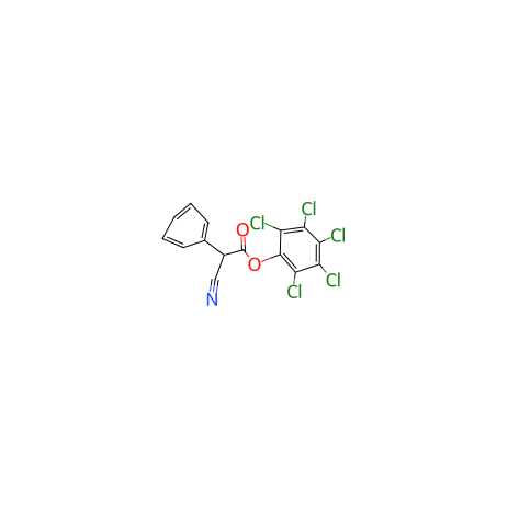 N#CC(C(=O)Oc1c(Cl)c(Cl)c(Cl)c(Cl)c1Cl)c1ccccc1